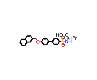 CC(C)[C@@H](NS(=O)(=O)c1ccc(-c2ccc(OCc3ccc4ccccc4c3)cc2)cc1)C(=O)O